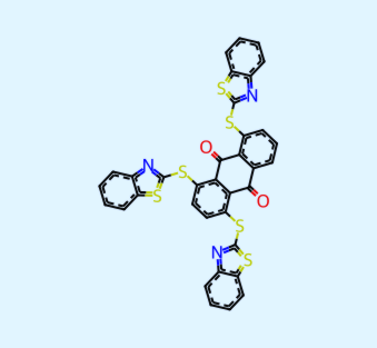 O=C1c2cccc(Sc3nc4ccccc4s3)c2C(=O)c2c(Sc3nc4ccccc4s3)ccc(Sc3nc4ccccc4s3)c21